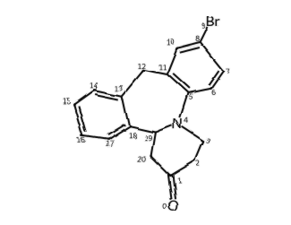 O=C1CCN2c3ccc(Br)cc3Cc3ccccc3C2C1